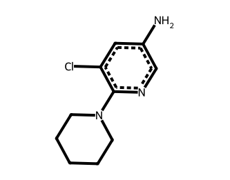 Nc1cnc(N2CCCCC2)c(Cl)c1